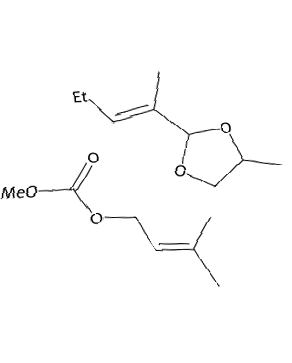 CC/C=C(\C)C1OCC(C)O1.COC(=O)OCC=C(C)C